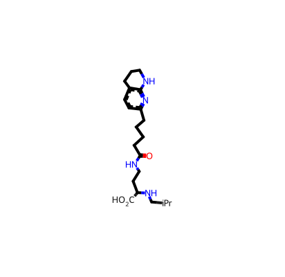 CC(C)CNC(CCNC(=O)CCCCc1ccc2c(n1)NCCC2)C(=O)O